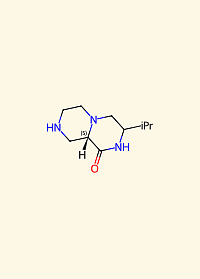 CC(C)C1CN2CCNC[C@H]2C(=O)N1